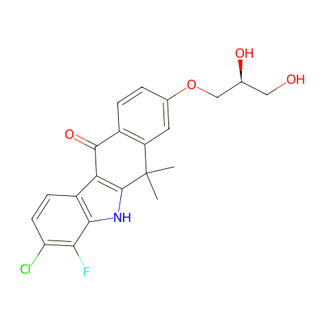 CC1(C)c2cc(OC[C@@H](O)CO)ccc2C(=O)c2c1[nH]c1c(F)c(Cl)ccc21